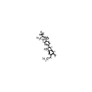 CCc1cc2[nH]c(-c3ccc(S(=O)(=O)NC(C)C(F)(F)F)cn3)cc2cc1F